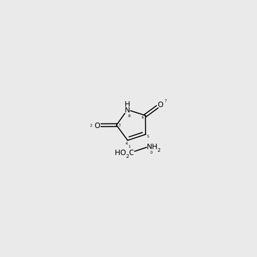 NC(=O)O.O=C1C=CC(=O)N1